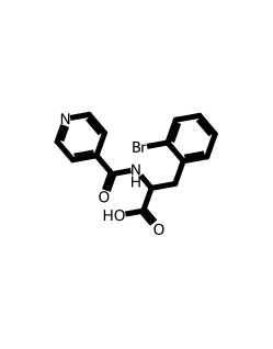 O=C(NC(Cc1ccccc1Br)C(=O)O)c1ccncc1